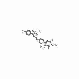 Cn1c(N2CCN(CCCN(c3ccc(Cl)cc3)S(C)(=O)=O)CC2)cc(=O)n(C)c1=O